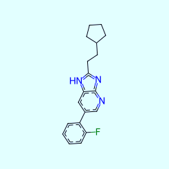 Fc1ccccc1-c1cnc2nc(CCC3CCCC3)[nH]c2c1